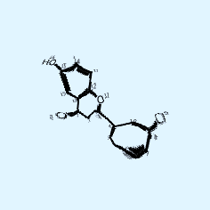 O=C1CC(c2cccc(Cl)c2)Oc2ccc(O)cc21